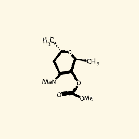 CNC1C[C@H](C)O[C@@H](C)C1OC(=O)OC